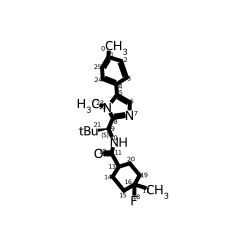 Cc1ccc(-c2cnc([C@@H](NC(=O)C3CCC(C)(F)CC3)C(C)(C)C)n2C)cc1